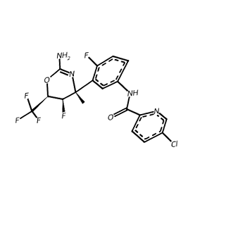 C[C@]1(c2cc(NC(=O)c3ccc(Cl)cn3)ccc2F)N=C(N)O[C@H](C(F)(F)F)[C@@H]1F